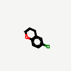 Clc1ccc2c(c1)CC[CH]O2